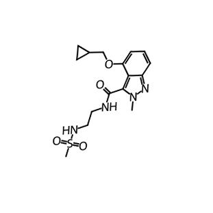 Cn1nc2cccc(OCC3CC3)c2c1C(=O)NCCNS(C)(=O)=O